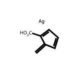 C=C1C=CC=C1C(=O)O.[Ag]